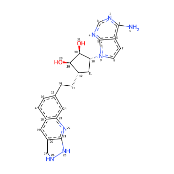 Nc1ncnc2c1ccn2[C@@H]1C[C@H](CCc2ccc3cc4c(nc3c2)NNC4)[C@@H](O)[C@H]1O